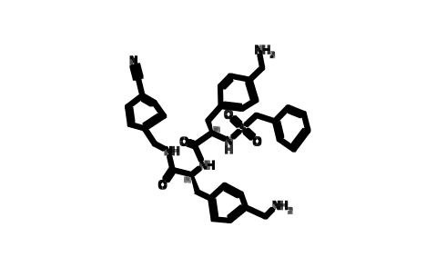 N#Cc1ccc(CNC(=O)[C@H](Cc2ccc(CN)cc2)NC(=O)[C@@H](Cc2ccc(CN)cc2)NS(=O)(=O)Cc2ccccc2)cc1